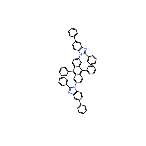 c1ccc(-c2ccc3c(c2)nc(-c2ccccc2)n3-c2ccc3c(-c4ccccc4)c4cc(-n5c(-c6ccccc6)nc6cc(-c7ccccc7)ccc65)ccc4c(-c4ccccc4)c3c2)cc1